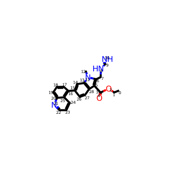 CCOC(=O)c1c(CNC=N)n(C)c2cc(-c3cccc4ncccc34)ccc12